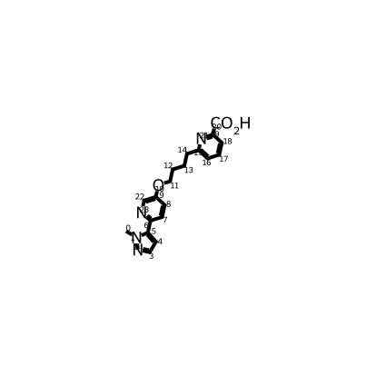 Cn1nccc1-c1ccc(OCCCCc2cccc(C(=O)O)n2)cn1